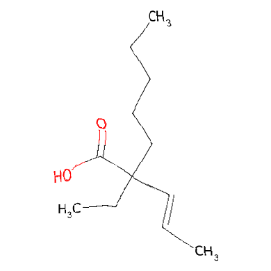 CC=CC(CC)(CCCCC)C(=O)O